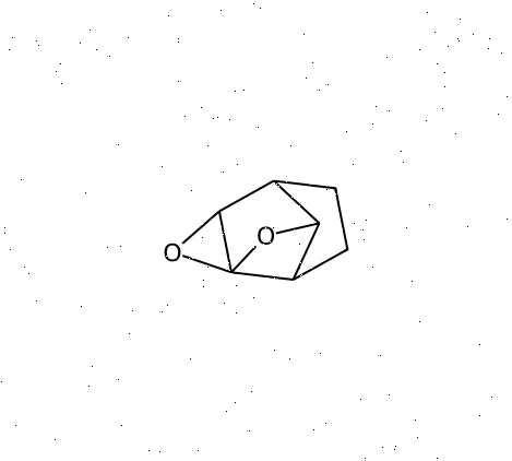 C1CC2C3OC24OC4C13